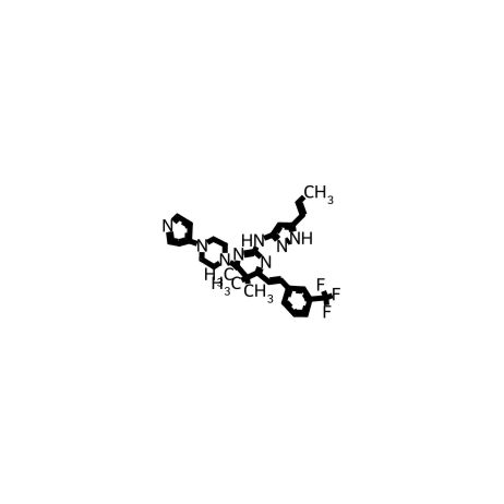 C/C=C/c1cc(NC2=NC(C)(N3CCN(c4ccncc4)CC3)C(C)(C)C(/C=C/c3cccc(C(F)(F)F)c3)=N2)n[nH]1